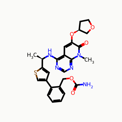 C[C@@H](Nc1ncnc2c1cc(O[C@H]1CCOC1)c(=O)n2C)c1cc(-c2ccccc2COC(N)=O)cs1